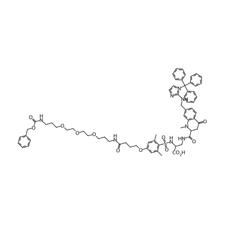 Cc1cc(OCCCC(=O)NCCCOCCOCCOCCCNC(=O)OCc2ccccc2)cc(C)c1S(=O)(=O)NC(CNC(=O)C1CC(=O)c2ccc(CNc3nccn3C(c3ccccc3)(c3ccccc3)c3ccccc3)cc2N1C)C(=O)O